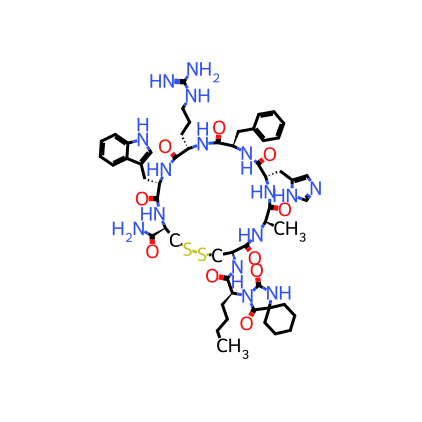 CCCC[C@@H](C(=O)N[C@H]1CSSC[C@@H](C(N)=O)NC(=O)[C@H](Cc2c[nH]c3ccccc23)NC(=O)[C@H](CCCNC(=N)N)NC(=O)[C@@H](Cc2ccccc2)NC(=O)[C@H](Cc2cnc[nH]2)NC(=O)[C@@H](C)NC1=O)N1C(=O)NC2(CCCCC2)C1=O